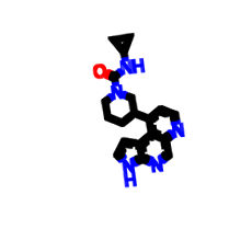 O=C(NC1CC1)N1CCCC(c2ccnc3cnc4[nH]ccc4c23)C1